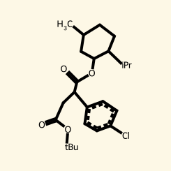 CC1CCC(C(C)C)C(OC(=O)C(CC(=O)OC(C)(C)C)c2ccc(Cl)cc2)C1